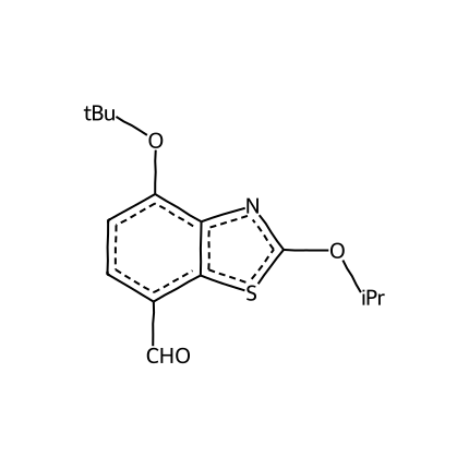 CC(C)Oc1nc2c(OC(C)(C)C)ccc(C=O)c2s1